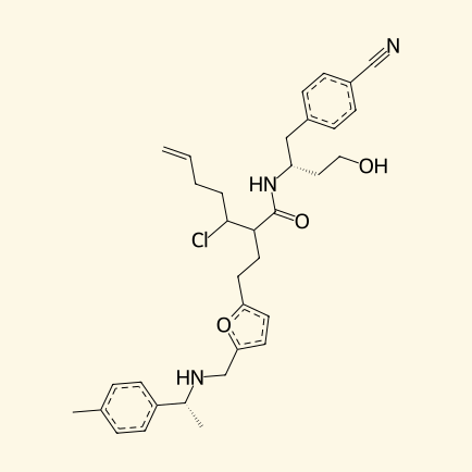 C=CCCC(Cl)C(CCc1ccc(CN[C@H](C)c2ccc(C)cc2)o1)C(=O)N[C@@H](CCO)Cc1ccc(C#N)cc1